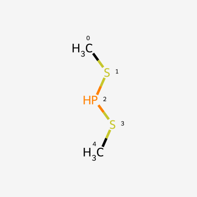 CSPSC